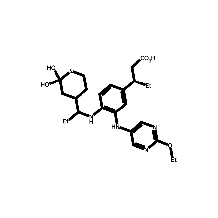 CCOc1ncc(Nc2cc(C(CC)CC(=O)O)ccc2NC(CC)C2CCSC(O)(O)C2)cn1